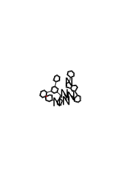 c1ccc(-c2cc(-c3ccccc3)cc(-c3nc(-n4c5ccccc5c5ccc6c(ccn6-c6ccccc6)c54)nc4ccn(-c5ccccc5)c34)c2)cc1